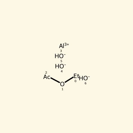 CCOC(C)=O.[Al+3].[OH-].[OH-].[OH-]